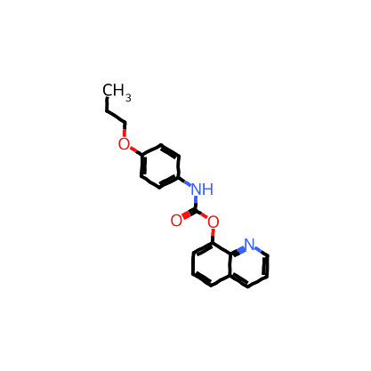 CCCOc1ccc(NC(=O)Oc2cccc3cccnc23)cc1